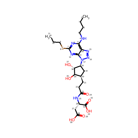 CCCCNc1nc(SCCC)nc2c1nnn2[C@H]1C[C@@H](CCC(=O)N[C@@H](CC(=O)O)C(=O)O)C(O)[C@@H]1O